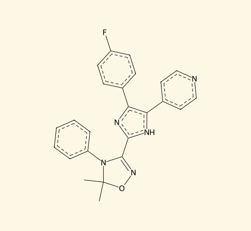 CC1(C)ON=C(c2nc(-c3ccc(F)cc3)c(-c3ccncc3)[nH]2)N1c1ccccc1